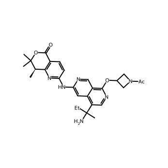 CCC(C)(N)c1cnc(OC2CN(C(C)=O)C2)c2cnc(Nc3ccc4c(n3)[C@@H](C)C(C)(C)OC4=O)cc12